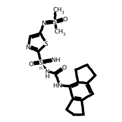 CS(C)(=O)=Nc1cnc([S@](=N)(=O)NC(=O)Nc2c3c(cc4c2CCC4)CCC3)s1